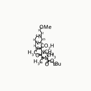 COCCN1CCN(C[C@H](C)[C@H](C(=O)O)N(C)C(=O)[C@@H](C)N(C)C(=O)OC(C)(C)C)CC1